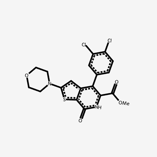 COC(=O)c1[nH]c(=O)c2sc(N3CCOCC3)cc2c1-c1ccc(Cl)c(Cl)c1